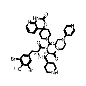 N[C@@H](Cc1cc(Br)c(O)c(Br)c1)C(=O)N(C(=O)N1CCC2(CC1)OC(=O)Nc1ncccc12)[C@H](CC1CCNCC1)C(=O)N1CCN(c2ccncc2)CC1